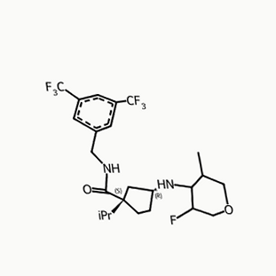 CC1COCC(F)C1N[C@@H]1CC[C@@](C(=O)NCc2cc(C(F)(F)F)cc(C(F)(F)F)c2)(C(C)C)C1